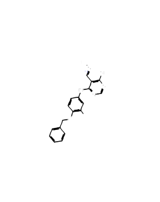 Nc1ncnc(Nc2ccc(OCc3ccccc3)c(Cl)c2)c1/C=N/O